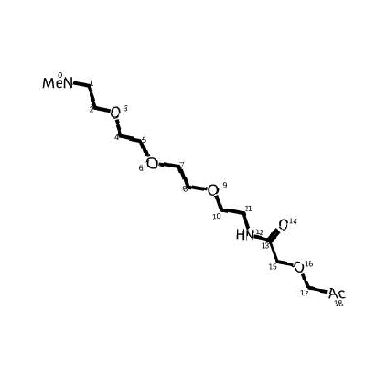 CNCCOCCOCCOCCNC(=O)COCC(C)=O